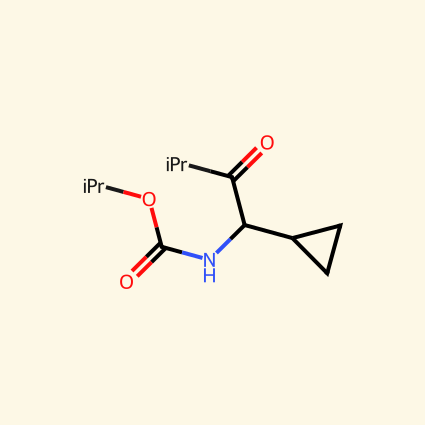 CC(C)OC(=O)NC(C(=O)C(C)C)C1CC1